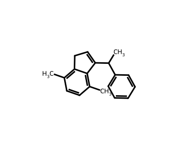 Cc1ccc(C)c2c1CC=C2C(C)c1ccccc1